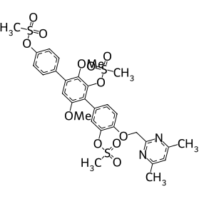 COc1cc(-c2ccc(OS(C)(=O)=O)cc2)c(OC)c(OS(C)(=O)=O)c1-c1ccc(OCc2nc(C)cc(C)n2)c(OS(C)(=O)=O)c1